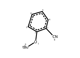 CC(C)(C)Oc1ccccc1C#N